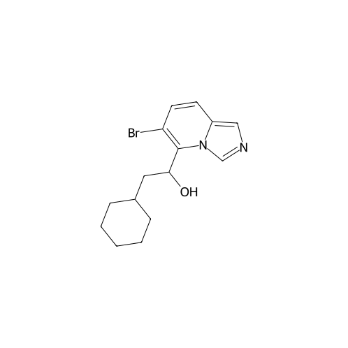 OC(CC1CCCCC1)c1c(Br)ccc2cncn12